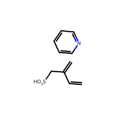 C=CC(=C)CS(=O)(=O)O.c1ccncc1